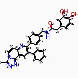 Cc1nnc2c3cc(-c4ccccc4)c(-c4ccc(CNC(=O)Cc5ccc(O)c(O)c5)cc4)nc3ccn12